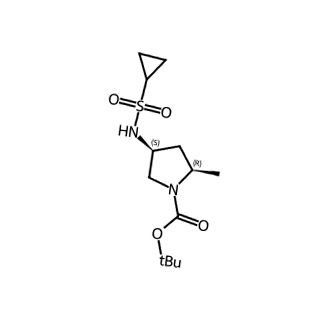 C[C@@H]1C[C@H](NS(=O)(=O)C2CC2)CN1C(=O)OC(C)(C)C